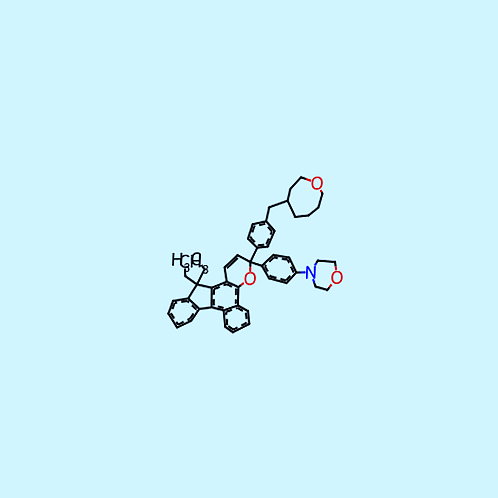 CCC1(CC)c2ccccc2-c2c1c1c(c3ccccc23)OC(c2ccc(CC3CCCCOCC3)cc2)(c2ccc(N3CCOCC3)cc2)C=C1